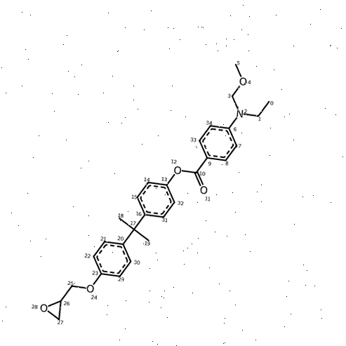 CCN(COC)c1ccc(C(=O)Oc2ccc(C(C)(C)c3ccc(OCC4CO4)cc3)cc2)cc1